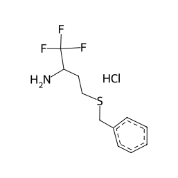 Cl.NC(CCSCc1ccccc1)C(F)(F)F